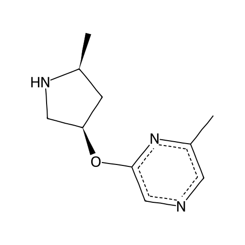 Cc1cncc(O[C@H]2CN[C@@H](C)C2)n1